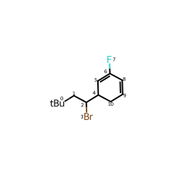 CC(C)(C)CC(Br)C1C=C(F)C=CC1